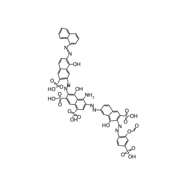 Nc1c(N=Nc2ccc3cc(S(=O)(=O)O)c(N=Nc4ccc(S(=O)(=O)O)cc4OC=O)c(O)c3c2)cc(S(=O)(=O)O)c2cc(S(=O)(=O)O)c(N=Nc3cc4c(O)c(N=Nc5cccc6ccccc56)ccc4cc3S(=O)(=O)O)c(O)c12